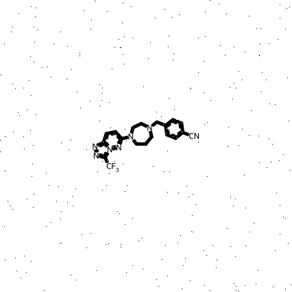 N#Cc1ccc(CN2CCCN(c3ccc4nnc(C(F)(F)F)n4n3)CC2)cc1